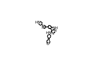 c1nc(NC2CCC(N3CCOCC3)CC2)c2c(n1)[nH]c1ccc(-c3cnn(C4CCNCC4)c3)cc12